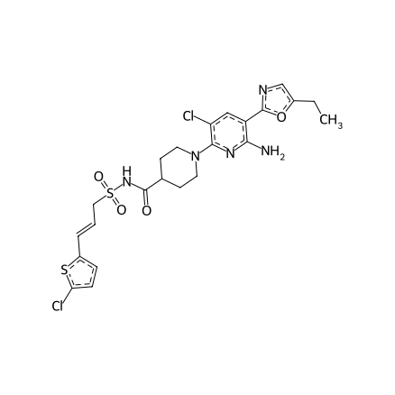 CCc1cnc(-c2cc(Cl)c(N3CCC(C(=O)NS(=O)(=O)CC=Cc4ccc(Cl)s4)CC3)nc2N)o1